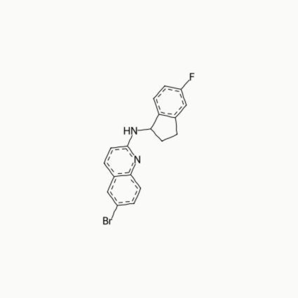 Fc1ccc2c(c1)CCC2Nc1ccc2cc(Br)ccc2n1